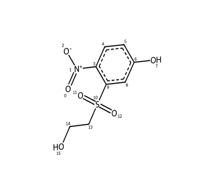 O=[N+]([O-])c1ccc(O)cc1S(=O)(=O)CCO